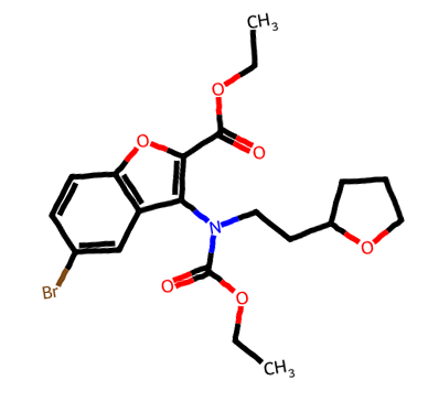 CCOC(=O)c1oc2ccc(Br)cc2c1N(CCC1CCCO1)C(=O)OCC